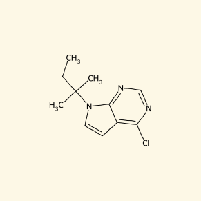 CCC(C)(C)n1ccc2c(Cl)ncnc21